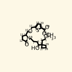 CCCC1(C(O)CCCN2C(=O)CCC2COCc2ccc(C(=O)OC)s2)CCC1